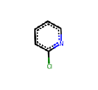 Clc1ccc[c]n1